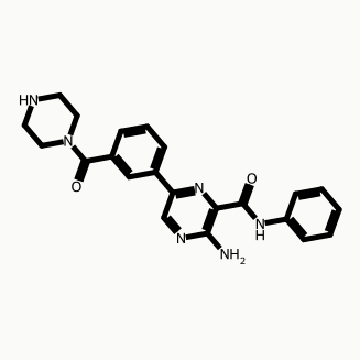 Nc1ncc(-c2cccc(C(=O)N3CCNCC3)c2)nc1C(=O)Nc1ccccc1